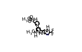 CNc1cc(N2CCCC(CNS(C)(=O)=O)C2)cc(-c2cnc(/C=C\C(=N)C(F)F)[nH]2)n1